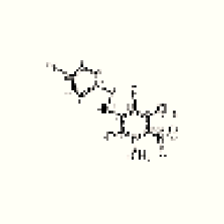 Cc1c(F)c(NCc2ccc(F)cc2)c(F)c(C)c1[N+](=O)[O-]